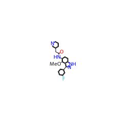 COc1c(NC(=O)Cc2cccnc2)ccc2[nH]nc(-c3cccc(F)c3)c12